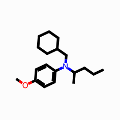 CCCC(C)N(CC1CCCCC1)c1ccc(OC)cc1